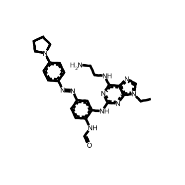 CCn1cnc2c(NCCN)nc(Nc3cc(/N=N/c4ccc(N5CCCC5)cc4)ccc3NC=O)nc21